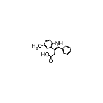 Cc1ccc2[nH]c(-c3ccccc3)c(CC(=O)O)c2c1